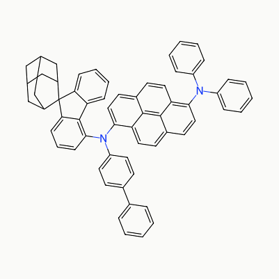 c1ccc(-c2ccc(N(c3cccc4c3-c3ccccc3C43C4CC5CC(C4)CC3C5)c3ccc4ccc5c(N(c6ccccc6)c6ccccc6)ccc6ccc3c4c65)cc2)cc1